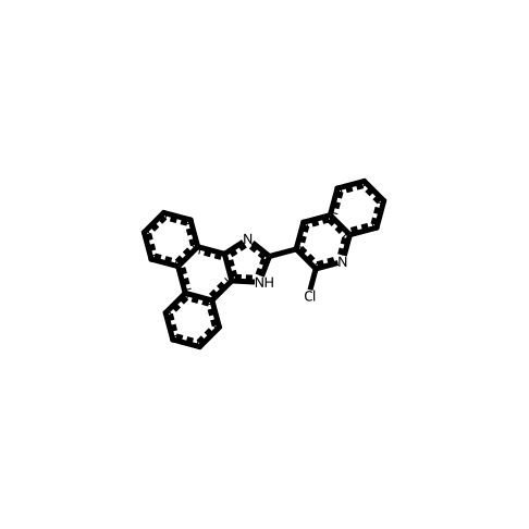 Clc1nc2ccccc2cc1-c1nc2c3ccccc3c3ccccc3c2[nH]1